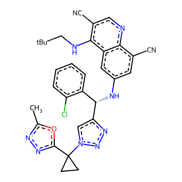 Cc1nnc(C2(n3cc([C@@H](Nc4cc(C#N)c5ncc(C#N)c(NCC(C)(C)C)c5c4)c4ccccc4Cl)nn3)CC2)o1